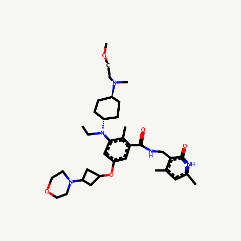 CCN(c1cc(OC2CC(N3CCOCC3)C2)cc(C(=O)NCc2c(C)cc(C)[nH]c2=O)c1C)[C@H]1CC[C@H](N(C)CCOC)CC1